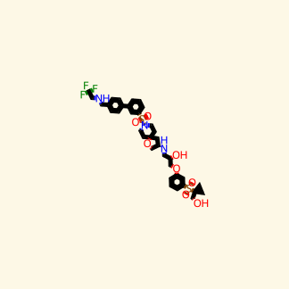 O=S(=O)(c1cccc(-c2ccc(CNCC(F)(F)F)cc2)c1)N1CCC2(CC1)C[C@H](NCC(O)COc1cccc(S(=O)(=O)C3(CO)CC3)c1)CO2